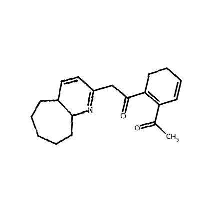 CC(=O)C1=C(C(=O)CC2=NC3CCCCCC3C=C2)CCC=C1